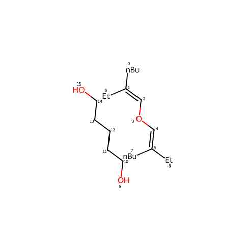 CCCCC(=COC=C(CC)CCCC)CC.OCCCCCO